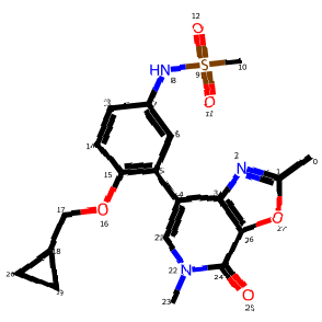 Cc1nc2c(-c3cc(NS(C)(=O)=O)ccc3OCC3CC3)cn(C)c(=O)c2o1